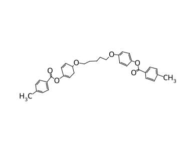 Cc1ccc(C(=O)OC2=CCC(OCCCCCOc3ccc(OC(=O)c4ccc(C)cc4)cc3)C=C2)cc1